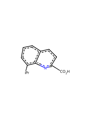 CC(C)c1cccc2ccc(C(=O)O)nc12